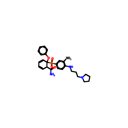 NC(=O)C1C=CC=CC1(Oc1ccccc1)S(=O)(=O)c1ccc(NCCCN2CCCC2)c([N+](=O)[O-])c1